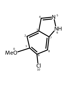 COc1cc2cn[nH]c2cc1Cl